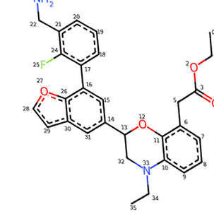 CCOC(=O)Cc1cccc2c1OC(c1cc(-c3cccc(CN)c3F)c3occc3c1)CN2CC